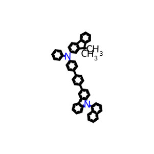 CC1(C)c2ccccc2-c2ccc(N(c3ccccc3)c3ccc(-c4ccc(-c5ccc6c(c5)c5ccccc5n6-c5cccc6ccccc56)cc4)cc3)cc21